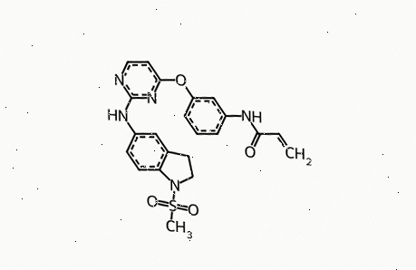 C=CC(=O)Nc1cccc(Oc2ccnc(Nc3ccc4c(c3)CCN4S(C)(=O)=O)n2)c1